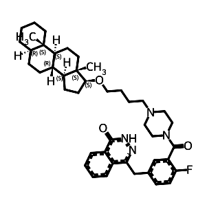 C[C@]12CCCC[C@@H]1CC[C@@H]1[C@@H]2CC[C@]2(C)[C@@H](OCCCCN3CCN(C(=O)c4cc(Cc5n[nH]c(=O)c6ccccc56)ccc4F)CC3)CC[C@@H]12